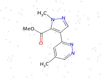 COC(=O)c1c(-c2cc(C)cnn2)cnn1C